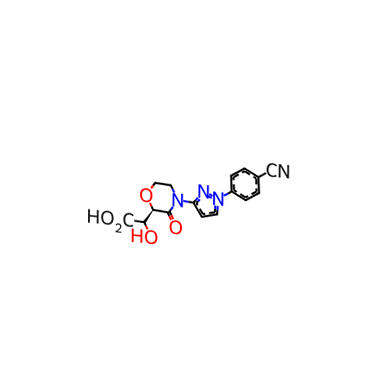 N#Cc1ccc(-n2ccc(N3CCO[C@H](C(O)C(=O)O)C3=O)n2)cc1